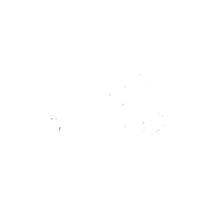 CCCCNC1CCC(C(C)(C)C2c3ccc4ccccc4c3-c3c2ccc2ccccc32)C1